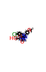 CC(C)OC1CC=C(c2nc3c(c(=O)n(CCCO)c(=O)n3C)n2Cc2ccc(Cl)cc2)CC1